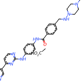 CC(=O)O.CN1CCN(NCc2ccc(C(=O)Nc3ccc(Nc4nccc(-c5cccnc5)n4)cc3)cc2)CC1